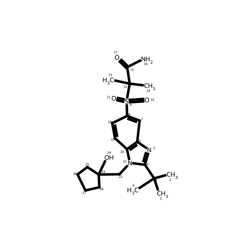 CC(C)(C)c1nc2cc(S(=O)(=O)C(C)(C)C(N)=O)ccc2n1CC1(O)CCCC1